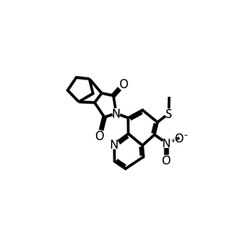 CSc1cc(N2C(=O)C3C4CCC(C4)C3C2=O)c2ncccc2c1[N+](=O)[O-]